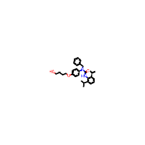 CC(C)c1cccc(C(C)C)c1NC(=O)N(Cc1ccccc1)c1ccc(OCCCCO)cc1